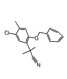 Cc1cc(OCc2ccccc2)c(C(C)(C)C#N)cc1Cl